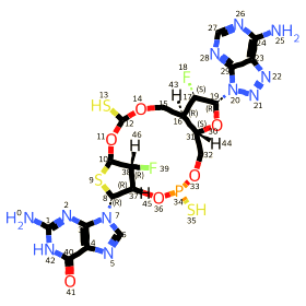 Nc1nc2c(ncn2[C@@H]2SC3OC(S)OC[C@H]4[C@H](F)[C@H](n5nnc6c(N)ncnc65)O[C@@H]4COP(S)O[C@@H]2[C@H]3F)c(=O)[nH]1